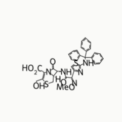 CO/N=C(\C(=O)N[C@@H]1C(=O)N2C(C(=O)O)=C(CO)SC[C@H]12)c1csc(NC(c2ccccc2)(c2ccccc2)c2ccccc2)n1